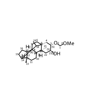 COCO[C@H]1C[C@@]23CC[C@H]4[C@H](CC[C@]5(C)C(CC[C@@H]45)C2C)[C@]3(C)C[C@@H]1O